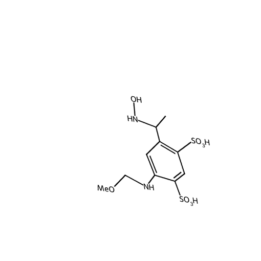 COCNc1cc(C(C)NO)c(S(=O)(=O)O)cc1S(=O)(=O)O